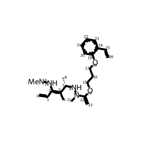 C=C/C(NNC)=C(\C)[C@H](C)NN(C)C(=C)OCCCOc1ccccc1C=C